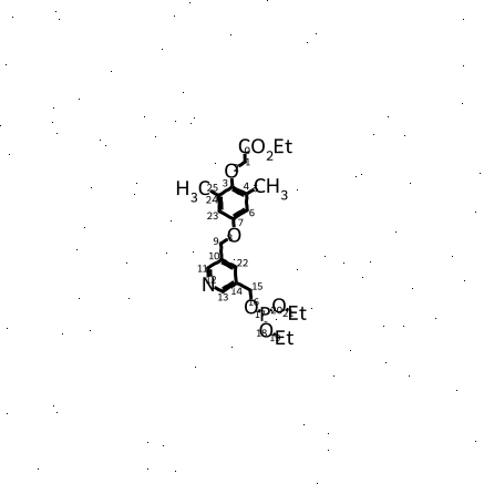 CCOC(=O)COc1c(C)cc(OCc2cncc(COP(OCC)OCC)c2)cc1C